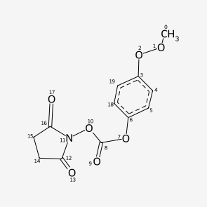 COOc1ccc(OC(=O)ON2C(=O)CCC2=O)cc1